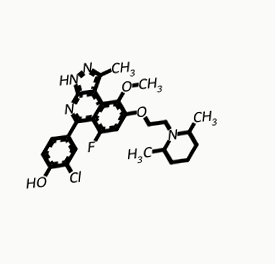 COc1c(OCCN2C(C)CCCC2C)cc(F)c2c(-c3ccc(O)c(Cl)c3)nc3[nH]nc(C)c3c12